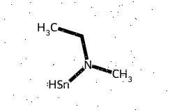 CC[N](C)[SnH]